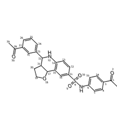 CC(=O)c1ccc(NS(=O)(=O)c2ccc3c(c2)C2OCCC2C(c2cccc(C(C)=O)c2)N3)cc1